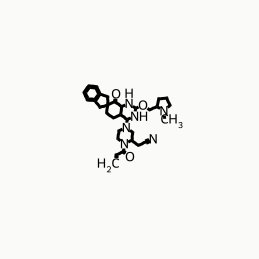 C=CC(=O)N1CCN(C2NC(OCC3CCCN3C)NC3C(=O)C4(CCC32)Cc2ccccc2C4)CC1CC#N